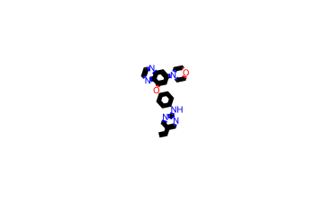 C=Cc1cnc(N[C@H]2CC[C@@H](Oc3cc(N4CCOCC4)cc4nccnc34)CC2)nc1